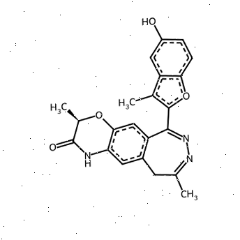 CC1=NN=C(c2oc3ccc(O)cc3c2C)c2cc3c(cc2C1)NC(=O)[C@@H](C)O3